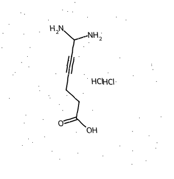 Cl.Cl.NC(N)C#CCCC(=O)O